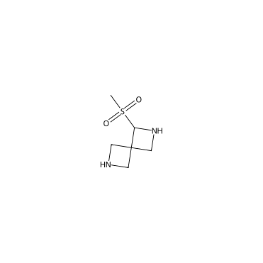 CS(=O)(=O)C1NCC12CNC2